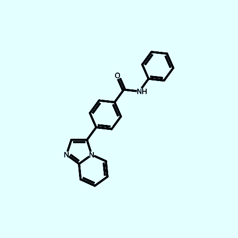 O=C(Nc1ccccc1)c1ccc(-c2cnc3ccccn23)cc1